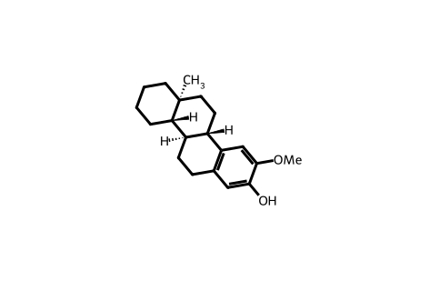 COc1cc2c(cc1O)CC[C@@H]1[C@@H]2CC[C@]2(C)CCCC[C@@H]12